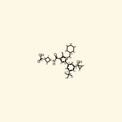 Cc1c(C(=O)N[C@H]2C[C@H](C(=O)O)C2)cc(-c2cc(C(C)(C)C)cc(C3(O)CC3)c2)n1CC1CCCCC1